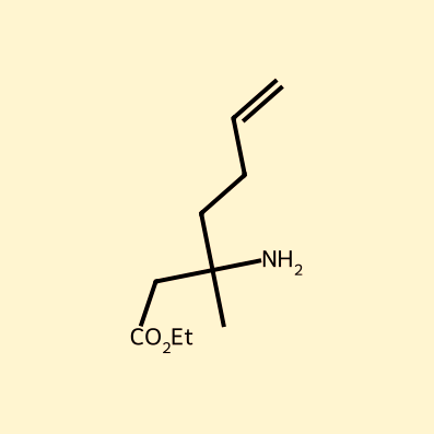 C=CCCC(C)(N)CC(=O)OCC